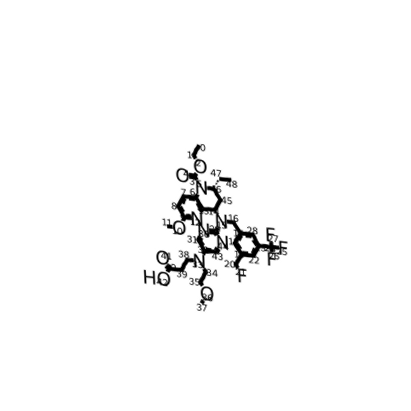 CCOC(=O)N1c2ccc(OC)nc2[C@@H](N(Cc2cc(CF)cc(C(F)(F)F)c2)c2ncc(N(CCOC)CCC(=O)O)cn2)C[C@H]1CC